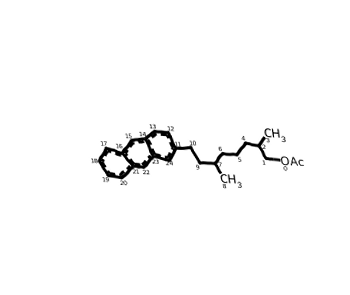 CC(=O)OCC(C)CCCC(C)CCc1ccc2cc3ccccc3cc2c1